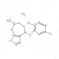 CN1CCC(Oc2cc(Cl)ccc2Cl)c2ccoc2C1.Cl